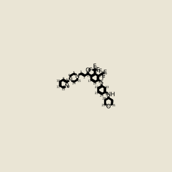 O=C(C=CN1CCN(c2ccccn2)CC1)c1ccc(Sc2cccc(NC3CCOCC3)c2)c(C(F)(F)F)c1C(F)(F)F